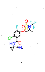 C[C@@H](COc1cc(C(=O)NC2(C#N)CC2)c(Cl)cc1F)N([SH](=O)=O)C(F)(F)F